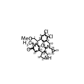 COCCc1cc(Cl)c(Cl)c(CN(C(=O)[C@H]2CNCCC2c2ccn(C)c(=O)c2)C2CC2)c1